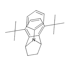 CC(C)(C)c1ccc(C(C)(C)C)c2c1C1CCC2N1c1ccccc1